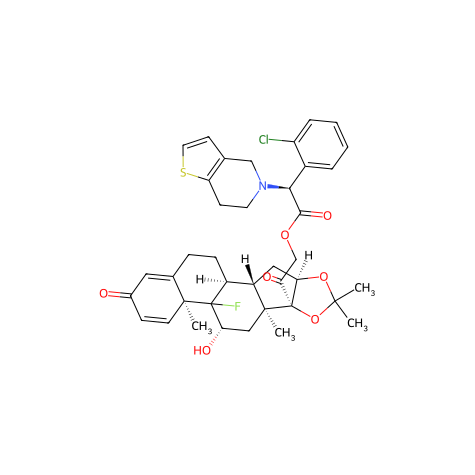 CC1(C)O[C@@H]2C[C@H]3[C@@H]4CCC5=CC(=O)C=C[C@]5(C)C4(F)[C@@H](O)C[C@]3(C)[C@]2(C(=O)COC(=O)[C@H](c2ccccc2Cl)N2CCc3sccc3C2)O1